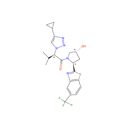 CC(C)[C@H](C(=O)N1C[C@H](O)C[C@H]1c1nc2cc(C(F)(F)F)ccc2s1)n1cc(C2CC2)nn1